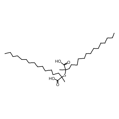 CCCCCCCCCCCCCCC(C)(SC(C)(CCCCCCCCCCCCCC)C(=O)O)C(=O)O